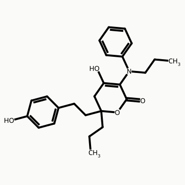 CCCN(C1=C(O)CC(CCC)(CCc2ccc(O)cc2)OC1=O)c1ccccc1